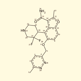 Cc1ccc(COc2ccc3oc(C)c(C(N)=O)c3c2C2CCNCC2(F)F)nn1